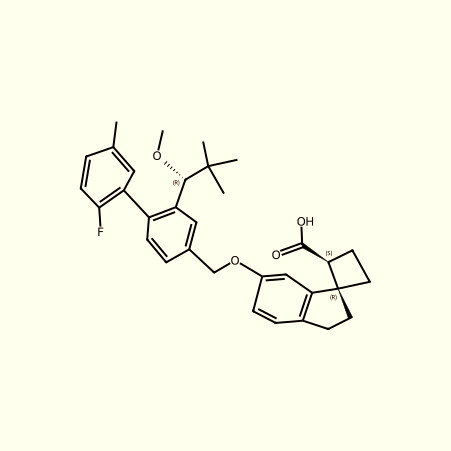 CO[C@@H](c1cc(COc2ccc3c(c2)[C@@]2(CC3)CC[C@@H]2C(=O)O)ccc1-c1cc(C)ccc1F)C(C)(C)C